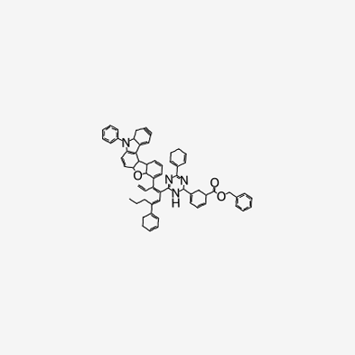 C=C/C(C1=CC=CC2C1OC1C=CC3=C(C4=CC#CCC4N3c3ccccc3)C12)=C(\C=C(/CCC)C1=CC=CCC1)C1=NC(C2=CCCC=C2)=NC(C2=CC=CC(C(=O)OCc3ccccc3)C2)N1